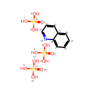 O=P(O)(O)O.O=P(O)(O)O.O=P(O)(O)O.c1ccc2ncccc2c1